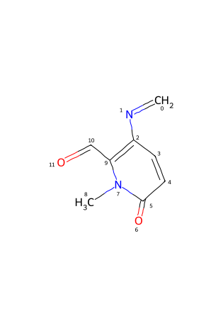 C=Nc1ccc(=O)n(C)c1C=O